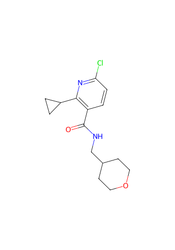 O=C(NCC1CCOCC1)c1ccc(Cl)nc1C1CC1